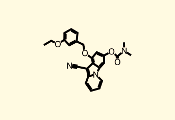 CCOc1cccc(COc2cc(OC(=O)N(C)C)cc3c2c(C#N)c2ccccn23)c1